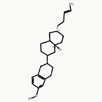 C/C=C/CC[C@@H]1CC[C@@H]2CC(C3CCc4cc(OCC)ccc4C3)CCC2C1